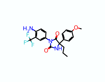 CCCC1(c2ccc(OC)cc2)NC(=O)N(c2ccc(N)c(C(F)(F)F)c2)C1=O